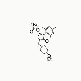 CCOC1CCC(CC2CC(OC(=O)C(C)(C)C)=C(c3c(C)cc(C)cc3C)C2=O)CC1